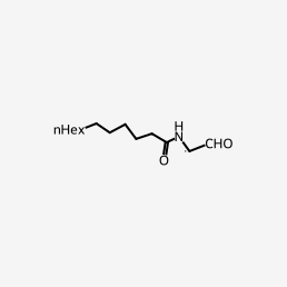 CCCCCCCCCCCC(=O)N[CH]C=O